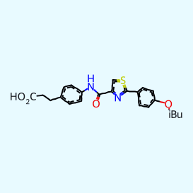 CCC(C)Oc1ccc(-c2nc(C(=O)Nc3ccc(CCC(=O)O)cc3)cs2)cc1